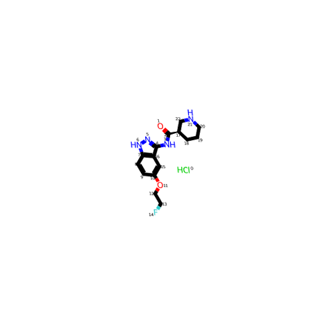 Cl.O=C(Nc1n[nH]c2ccc(OCCF)cc12)[C@@H]1CCCNC1